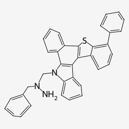 NN(Cc1ccccc1)Cn1c2ccccc2c2c3c4cccc(-c5ccccc5)c4sc3c3ccccc3c21